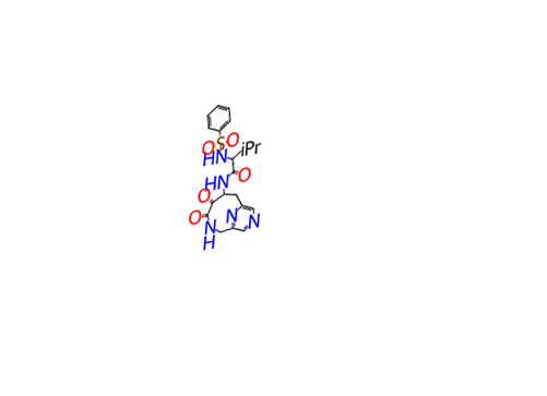 CC(C)C(NS(=O)(=O)c1ccccc1)C(=O)NC1Cc2cncc(n2)CNC(=O)C1=O